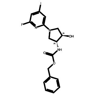 O=C(N[C@@H]1CN(c2cc(I)cc(F)n2)C[C@H]1O)OCc1ccccc1